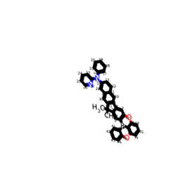 CC1(C)c2cc3c(cc2-c2cc4ccc(N(c5ccccc5)c5ccccn5)cc4cc21)Oc1cccc2c1B3c1ccccc1O2